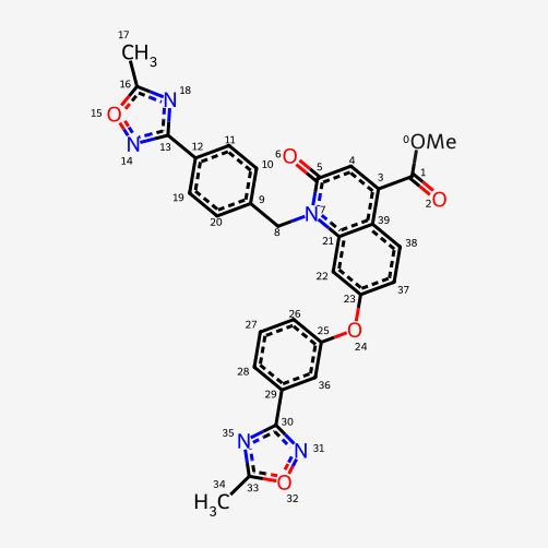 COC(=O)c1cc(=O)n(Cc2ccc(-c3noc(C)n3)cc2)c2cc(Oc3cccc(-c4noc(C)n4)c3)ccc12